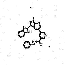 O=C(NCc1ccccc1)c1cncc(-c2cnc3[nH]nc(-c4nc5ccccc5[nH]4)c3c2)c1